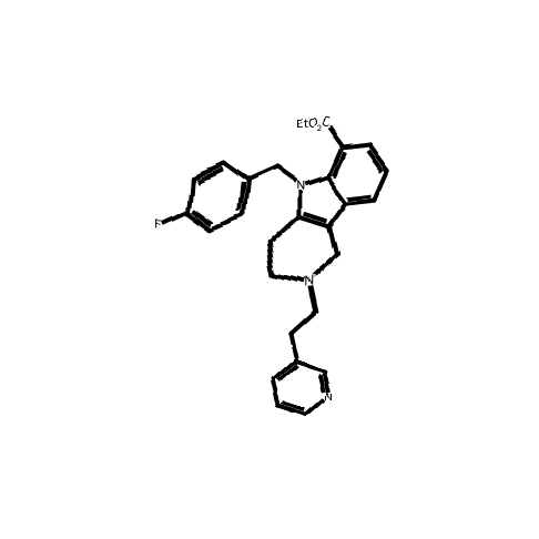 CCOC(=O)c1cccc2c3c(n(Cc4ccc(F)cc4)c12)CCN(CCc1cccnc1)C3